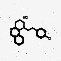 Cl.Clc1ccc(CCN2CCCc3ncc4ccccc4c32)cc1